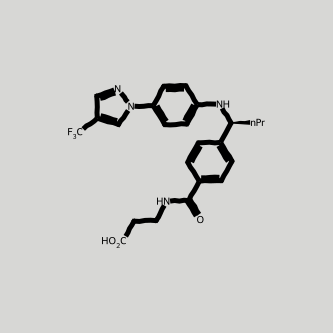 CCC[C@H](Nc1ccc(-n2cc(C(F)(F)F)cn2)cc1)c1ccc(C(=O)NCCC(=O)O)cc1